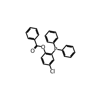 O=C(Oc1ccc(Cl)cc1P(c1ccccc1)c1ccccc1)c1ccccc1